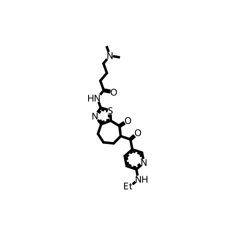 CCNc1ccc(C(=O)C2CCCc3nc(NC(=O)CCCN(C)C)sc3C2=O)cn1